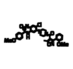 COc1ccc(C(=O)Nc2cc(N3CCN(C(=O)c4c(-c5ccccc5OC)noc4C)CC3)c(Cl)cc2[N+](=O)[O-])cc1